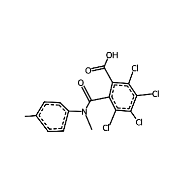 Cc1ccc(N(C)C(=O)c2c(Cl)c(Cl)c(Cl)c(Cl)c2C(=O)O)cc1